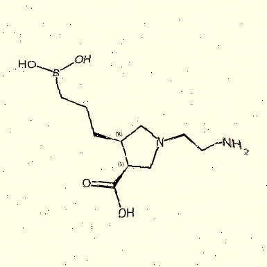 NCCN1C[C@H](CCCB(O)O)[C@H](C(=O)O)C1